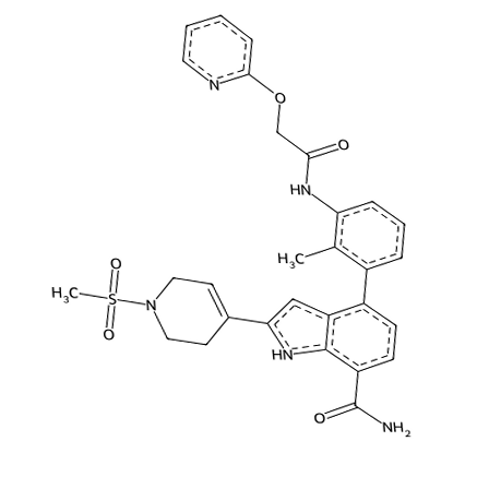 Cc1c(NC(=O)COc2ccccn2)cccc1-c1ccc(C(N)=O)c2[nH]c(C3=CCN(S(C)(=O)=O)CC3)cc12